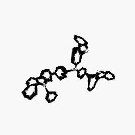 c1ccc(-n2c3cc(-c4ccc(N(c5ccc(-c6cccc7c6sc6ccccc67)cc5)c5ccc6c(c5)oc5ccccc56)cc4)ccc3c3ccc4ccccc4c32)cc1